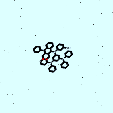 Sc1cccc(N(c2cc(N(c3ccccc3)c3ccccc3)cc(N(c3ccccc3)c3ccccc3)c2)c2c3ccccc3c(-c3ccccc3)c3ccccc23)c1